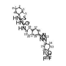 Cc1ccc(C)c(NC(=S)NC(=O)NC2CCc3cc(-c4ncn(-c5ccc(OC(F)(F)F)cc5)n4)ccc3C2)c1